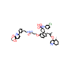 C[C@@H](COc1ccnc2c1[C@H](C)CCC2)C[C@H]1Cc2ccc(OCCCC(=O)NCCc3cccc(-c4ccc5c(n4)OCCO5)c3)cc2C12CCC(Nc1cccc(Cl)c1)(C(=O)O)CC2